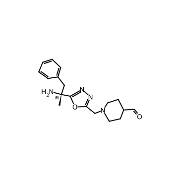 C[C@@](N)(Cc1ccccc1)c1nnc(CN2CCC(C=O)CC2)o1